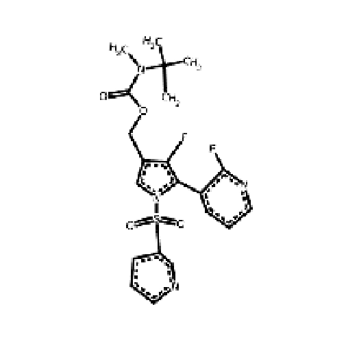 CN(C(=O)OCc1cn(S(=O)(=O)c2cccnc2)c(-c2cccnc2F)c1F)C(C)(C)C